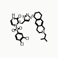 CC(C)CN1CCc2cc3c(cc2C1)CCC[C@H]3n1cc(C[C@@H]2C(=O)NC=CN2S(=O)(=O)c2ccc(Cl)c(Cl)c2)nn1